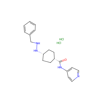 Cl.Cl.O=C(Nc1ccncc1)[C@H]1CC[C@@H](NNCc2ccccc2)CC1